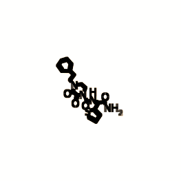 NC(=O)C(NC(=O)N1CCN(CCc2ccccc2)C(=O)C1=O)c1cccs1